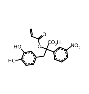 C=CC(=O)OC(Cc1ccc(O)c(O)c1)(C(=O)O)c1cccc([N+](=O)[O-])c1